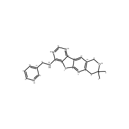 CC1(C)Cc2nc3sc4c(NCc5cccnc5)ncnc4c3cc2CO1